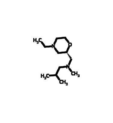 CCN1CCO[C@H](CN(C)CC(C)C)C1